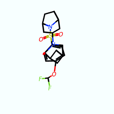 O=S(=O)(c1ccc(OC(F)F)cc1)N1C2CCC1CC(N1CC3CC(C3)C1)C2